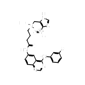 C[N+](C)(CCCC(=O)Nc1ccc2ncnc(Nc3cccc(Br)c3)c2c1)Cc1[nH]cnc1[N+](=O)[O-]